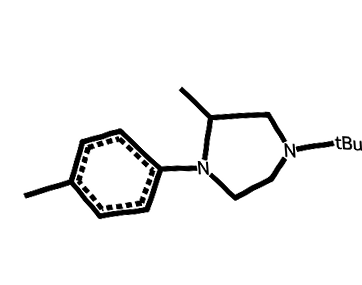 Cc1ccc(N2CCN(C(C)(C)C)CC2C)cc1